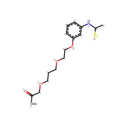 CSC(=O)COCCCOCCOc1cccc(NC(C)S)c1